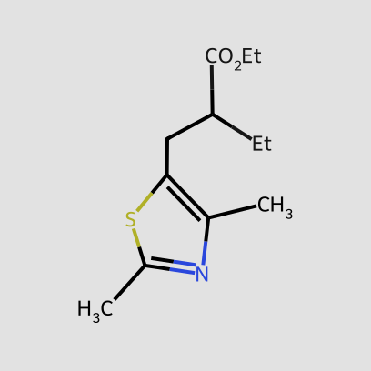 CCOC(=O)C(CC)Cc1sc(C)nc1C